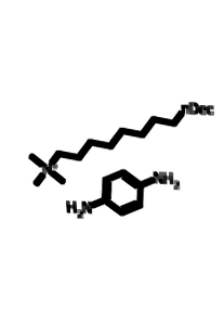 CCCCCCCCCCCCCCCCCC[N+](C)(C)C.Nc1ccc(N)cc1